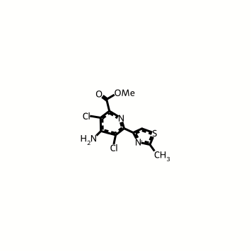 COC(=O)c1nc(-c2csc(C)n2)c(Cl)c(N)c1Cl